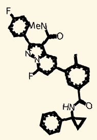 CNC(=O)c1c(-c2ccc(F)cc2)nn2c(F)cc(-c3cc(C(=O)NC4(c5ccccc5)CC4)ccc3C)cc12